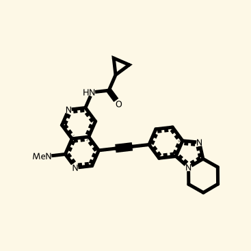 CNc1ncc(C#Cc2ccc3nc4n(c3c2)CCCC4)c2cc(NC(=O)C3CC3)ncc12